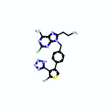 CCCc1nc2c(C)nc(Cl)nc2n1Cc1ccc(-c2csc(Br)c2-c2nnn[nH]2)cc1